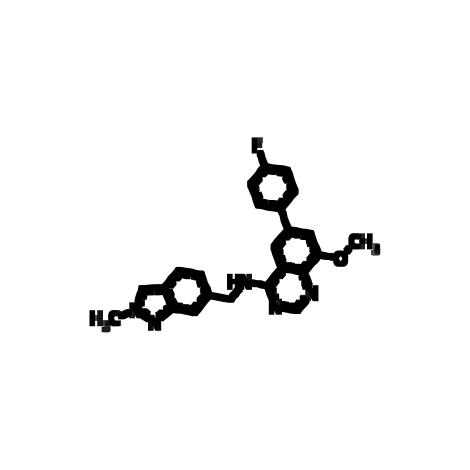 COc1cc(-c2ccc(F)cc2)cc2c(NCc3ccc4cn(C)nc4c3)ncnc12